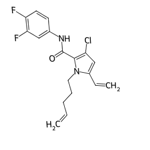 C=CCCCn1c(C=C)cc(Cl)c1C(=O)Nc1ccc(F)c(F)c1